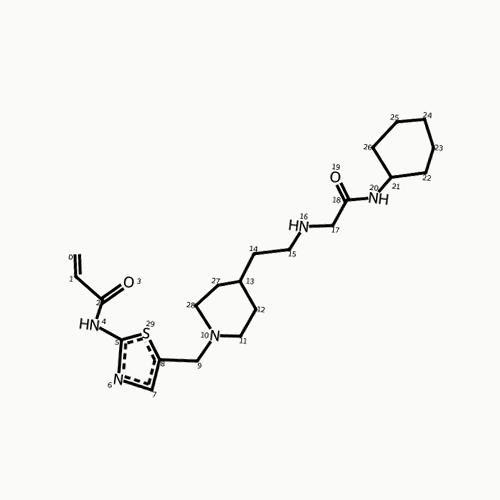 C=CC(=O)Nc1ncc(CN2CCC(CCNCC(=O)NC3CCCCC3)CC2)s1